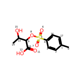 Cc1ccc(S(=O)(=O)OC(C(=O)O)C(C)O)cc1